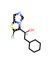 O[C@@H](CC1CCCCC1)c1c(Cl)sc2cncn12